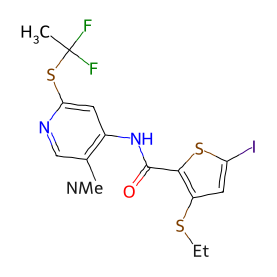 CCSc1cc(I)sc1C(=O)Nc1cc(SC(C)(F)F)ncc1NC